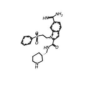 N=C(N)c1ccc2cc(C(=O)NC[C@H]3CCCNC3)n(CCS(=O)(=O)c3ccccc3)c2c1